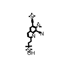 CN(C)c1c(C#C[Si](C)(C)C)cc2ccc(CCC(C)(C)[Si](C)(C)O)nc2c1C#N